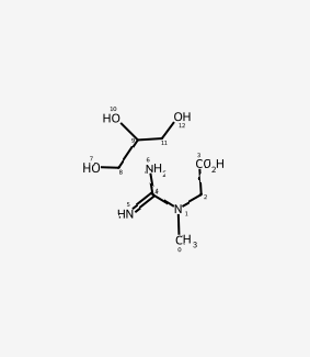 CN(CC(=O)O)C(=N)N.OCC(O)CO